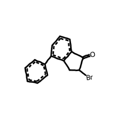 O=C1c2cccc(-c3ccccc3)c2CC1Br